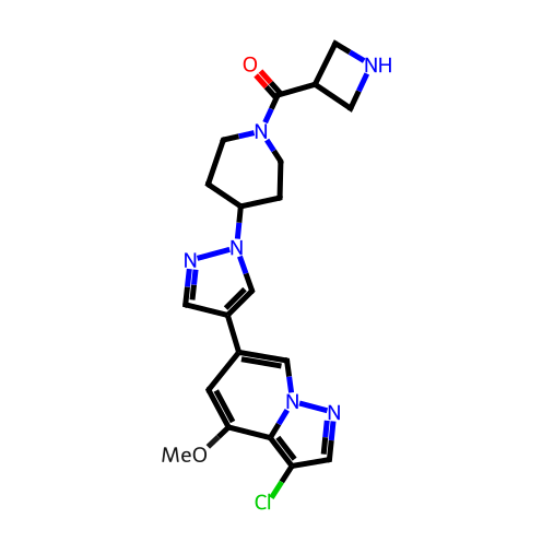 COc1cc(-c2cnn(C3CCN(C(=O)C4CNC4)CC3)c2)cn2ncc(Cl)c12